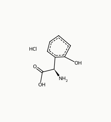 Cl.N[C@@H](C(=O)O)c1ccccc1O